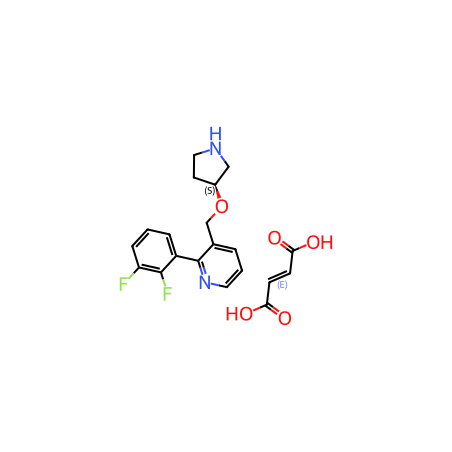 Fc1cccc(-c2ncccc2CO[C@H]2CCNC2)c1F.O=C(O)/C=C/C(=O)O